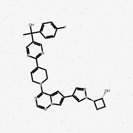 CC(O)(c1ccc(F)cc1)c1cnc(C2=CCN(c3ncnn4cc(-c5cnn([C@@H]6CC[C@H]6O)c5)cc34)CC2)nc1